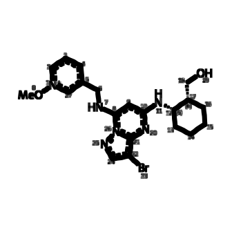 CO[n+]1cccc(CNc2cc(N[C@H]3CCCC[C@H]3CO)nc3c(Br)cnn23)c1